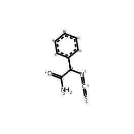 NC(=O)C(N=C=S)c1ccccc1